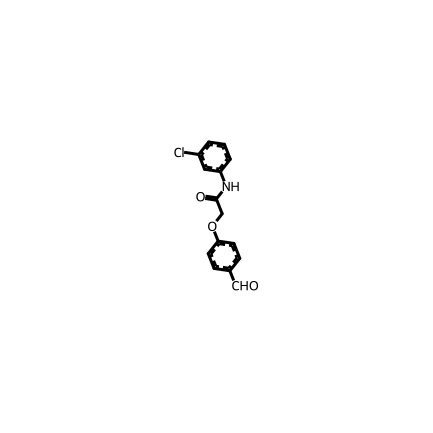 O=Cc1ccc(OCC(=O)Nc2cccc(Cl)c2)cc1